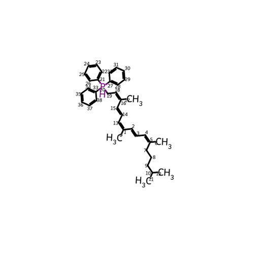 CC(C=CC=C(C)CCCC(C)C)=CC=CC(C)=CC[PH](c1ccccc1)(c1ccccc1)c1ccccc1